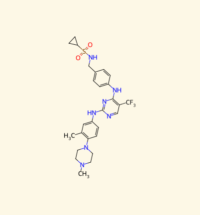 Cc1cc(Nc2ncc(C(F)(F)F)c(Nc3ccc(CNS(=O)(=O)C4CC4)cc3)n2)ccc1N1CCN(C)CC1